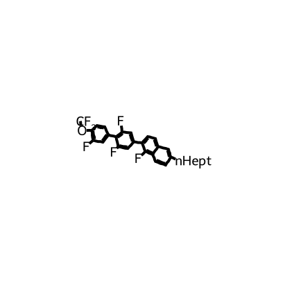 CCCCCCCc1ccc2c(F)c(-c3cc(F)c(-c4ccc(OC(F)(F)F)c(F)c4)c(F)c3)ccc2c1